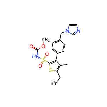 CCCCOC(=O)NS(=O)(=O)c1sc(CC(C)C)c(C)c1-c1ccc(Cn2ccnc2)cc1